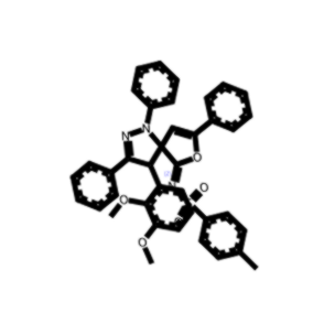 COc1cccc(C2C(c3ccccc3)=NN(c3ccccc3)C23C=C(c2ccccc2)O/C3=N\S(=O)(=O)c2ccc(C)cc2)c1OC